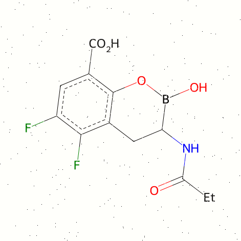 CCC(=O)NC1Cc2c(F)c(F)cc(C(=O)O)c2OB1O